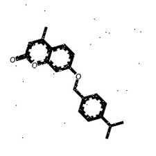 Cc1cc(=O)oc2cc(OCc3ccc(C(C)C)cc3)ccc12